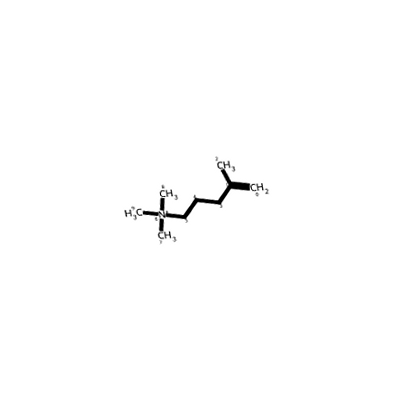 C=C(C)CCC[N+](C)(C)C